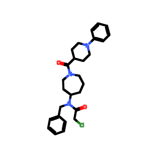 O=C(C1CCN(c2ccccc2)CC1)N1CCCC(N(Cc2ccccc2)C(=O)CCl)CC1